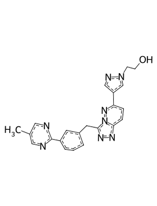 Cc1cnc(-c2cccc(Cc3nnc4ccc(-c5cnn(CCO)c5)nn34)c2)nc1